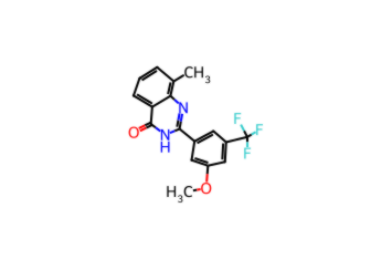 COc1cc(-c2nc3c(C)cccc3c(=O)[nH]2)cc(C(F)(F)F)c1